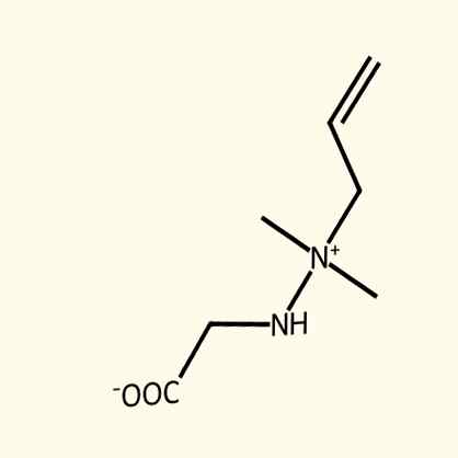 C=CC[N+](C)(C)NCC(=O)[O-]